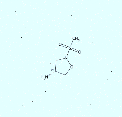 CS(=O)(=O)N1C[C@@H](N)CO1